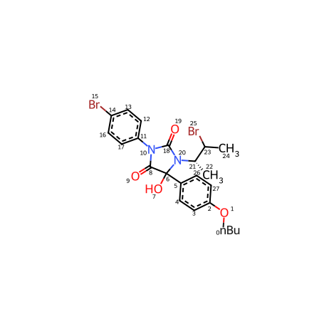 CCCCOc1ccc(C2(O)C(=O)N(c3ccc(Br)cc3)C(=O)N2[C@@H](C)C(C)Br)cc1